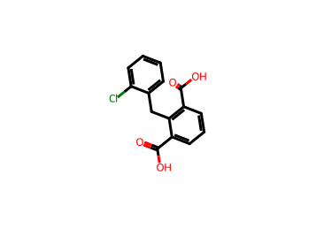 O=C(O)c1cccc(C(=O)O)c1Cc1ccccc1Cl